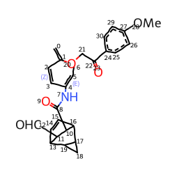 C=C(/C=C\C(=C/C)NC(=O)C1C(C=O)C2C=CC1C1CC21)OCC(=O)c1ccc(OC)cc1